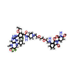 CC(C)Oc1cc(C(=O)NC2CCN(CCOCCOCCNc3cccc4c3C(=O)N(C3CCC(=O)NC3=O)C4=O)CC2)c(F)cc1Nc1ncc2c(n1)N(C1CCCC1)CC(F)(F)C(=O)N2C